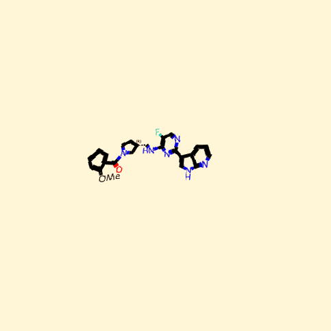 COc1ccccc1C(=O)N1CC[C@H](CNc2nc(-c3c[nH]c4ncccc34)ncc2F)C1